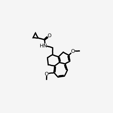 COC1=CC2=CC=CC(OC)=C3CCC(CNC(=O)C4CC4)C(=C23)C1